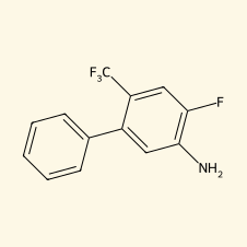 Nc1cc(-c2ccccc2)c(C(F)(F)F)cc1F